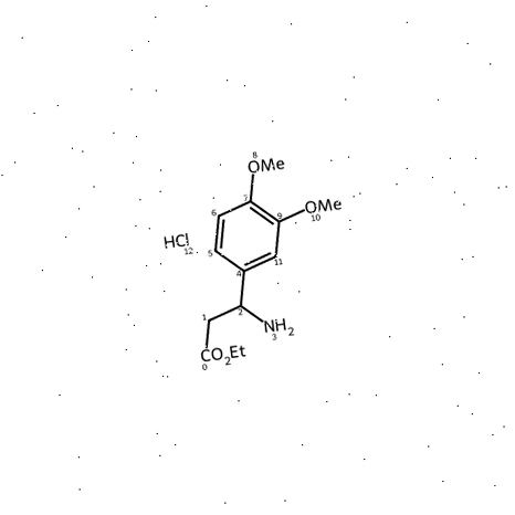 CCOC(=O)CC(N)c1ccc(OC)c(OC)c1.Cl